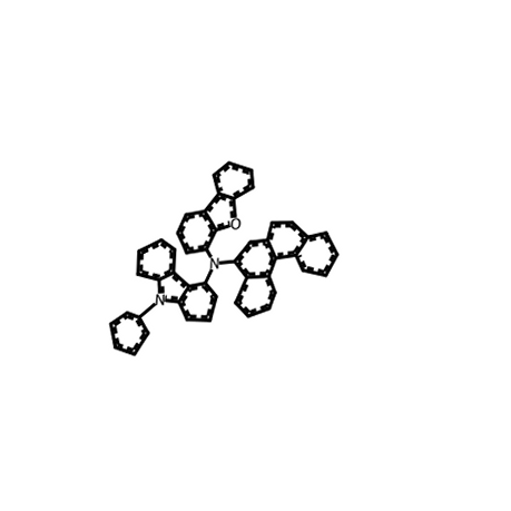 c1ccc(-n2c3ccccc3c3c(N(c4cc5ccc6ccccc6c5c5ccccc45)c4cccc5c4oc4ccccc45)cccc32)cc1